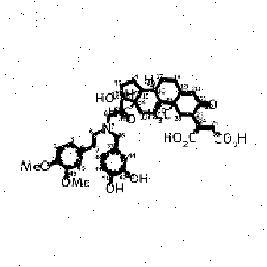 COc1ccc(CCN(CC(=O)[C@@]2(O)CC[C@H]3[C@@H]4CCC5=CC(=O)C(/C(=C/C(=O)O)C(=O)O)C[C@]5(C)C4=CC[C@@]32C)Cc2ccc(O)c(O)c2)cc1OC